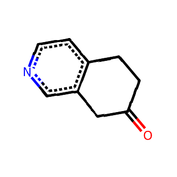 O=C1CCc2ccncc2C1